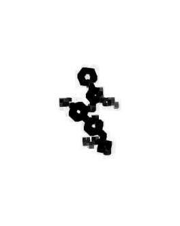 Cn1nc(N2CCCCC2)cc1Oc1cc(C#N)ccc1-c1ccc(CC2(N)COC2)cn1